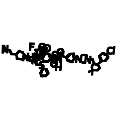 CN(C)CCC1CCN(CC[C@H](CSc2ccccc2)Nc2ccc(S(=O)(=O)NC(=O)c3ccc(N4CCN(CC5=C(c6ccc(Cl)cc6)CCC(C)(C)C5)CC4)cc3)cc2S(=O)(=O)C(F)(F)F)CC1